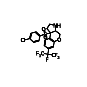 O=S(=O)(c1ccc(Cl)cc1)C12CCNC1COc1cc(C(F)(C(F)(F)F)C(F)(F)F)ccc12